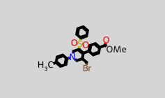 COC(=O)c1ccc(C2=C(S(=O)(=O)c3ccccc3)CN(c3ccc(C)cc3)CC2CBr)cc1